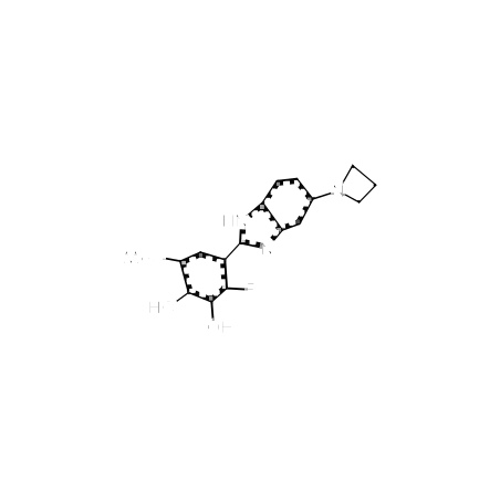 COc1cc(-c2nc3cc(N4CCC4)ccc3[nH]2)c(F)c(O)c1O